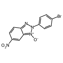 O=[N+]([O-])c1ccc2nn(-c3ccc(Br)cc3)[n+]([O-])c2c1